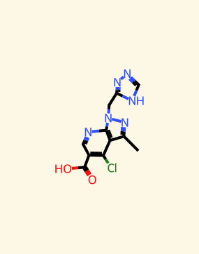 Cc1nn(Cc2nnc[nH]2)c2ncc(C(=O)O)c(Cl)c12